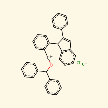 C1=C(c2ccccc2)C(c2cccc[c]2[Ti+2][O]C(c2ccccc2)c2ccccc2)c2ccccc21.[Cl-].[Cl-]